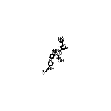 Cc1cc(C(=O)Nc2nc3ccc(N4CCC(NCCN(C)C)CC4)cc3n2CC(C)(C)O)c(F)c(-c2cnn(C)c2)n1